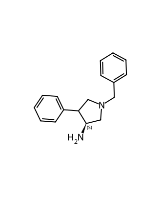 N[C@@H]1CN(Cc2ccccc2)CC1c1ccccc1